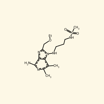 CCOCc1nc2c(N)nc(C)c(C)c2n1NCCCNS(C)(=O)=O